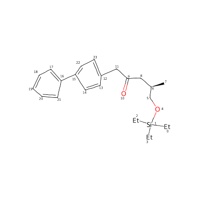 CC[Si](CC)(CC)OC[C@H](C)CC(=O)Cc1ccc(-c2ccccc2)cc1